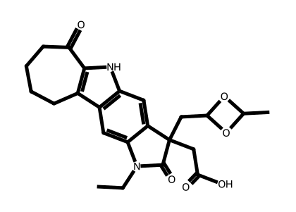 CCN1C(=O)C(CC(=O)O)(CC2OC(C)O2)c2cc3[nH]c4c(c3cc21)CCCCC4=O